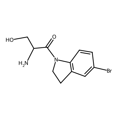 NC(CO)C(=O)N1CCc2cc(Br)ccc21